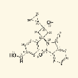 O=C1c2ccccc2C(=O)N1[C@]1(c2ccc(BO)cc2)C[C@](O)(C2CC2)C1